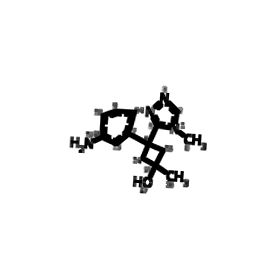 Cn1cnnc1C1(c2cccc(N)c2)CC(C)(O)C1